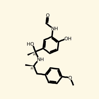 COc1ccc(C[C@@H](C)N[C@](C)(O)c2ccc(O)c(NC=O)c2)cc1